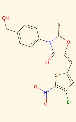 O=C1/C(=C\c2cc(Br)c([N+](=O)[O-])s2)OC(=S)N1c1ccc(CO)cc1